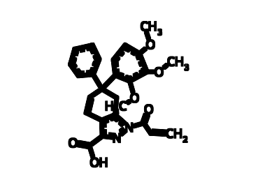 C=CC(=O)n1nc(C(=O)O)c2c1CC(c1ccccc1)(c1ccc(OC)c(OC)c1OC)C=C2